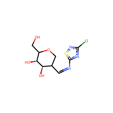 OCC1OCC(/C=N\c2nc(Cl)ns2)[C@@H](O)[C@H]1O